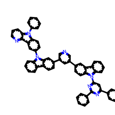 c1ccc(-c2cc(-n3c4ccccc4c4cc(-c5cncc(-c6ccc7c8ccccc8n(-c8ccc9c(c8)c8ncccc8n9-c8ccccc8)c7c6)c5)ccc43)nc(-c3ccccc3)n2)cc1